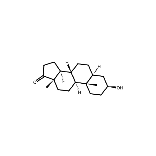 C[C@]12CC[C@H](O)C[C@@H]1CC[C@@H]1[C@@H]2CC[C@]2(C)C(=O)CC[C@@]12F